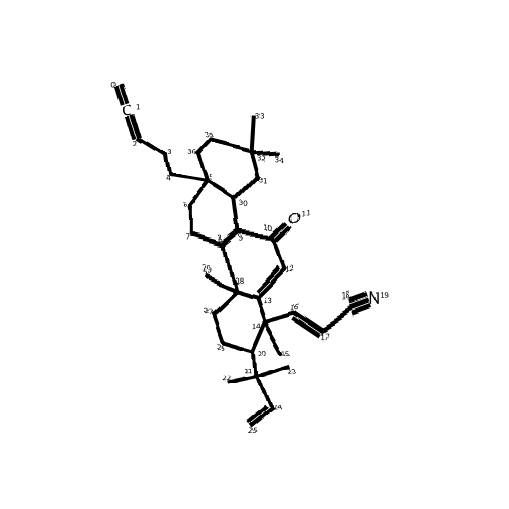 C=C=CCCC12CCC3C(C(=O)C=C4C(C)(/C=C/C#N)C(C(C)(C)C=C)CCC43C)C1CC(C)(C)CC2